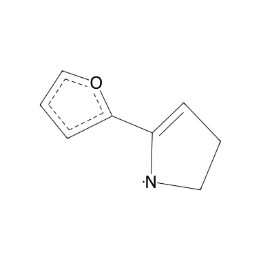 C1=C(c2ccco2)[N]CC1